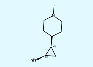 CCC[C@@H]1C[C@@H]1C1CCN(C)CC1